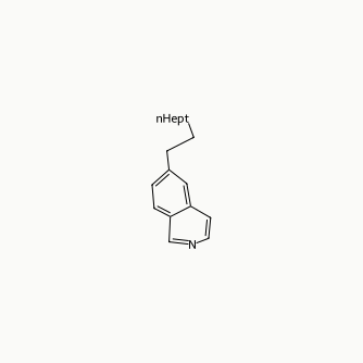 CCCCCCCCCc1ccc2cnccc2c1